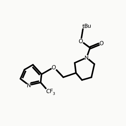 CC(C)(C)OC(=O)N1CCCC(COc2cccnc2C(F)(F)F)C1